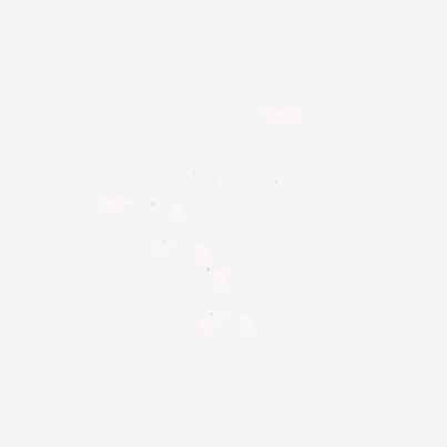 Cc1ccc(S(=O)(=O)O)cc1.Cc1ccc(S(=O)(=O)O)cc1.OCCCCCCO